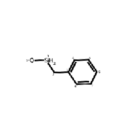 [O][SiH2]Cc1ccccc1